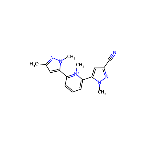 Cc1cc(-c2cccc(-c3cc(C#N)nn3C)[n+]2C)n(C)n1